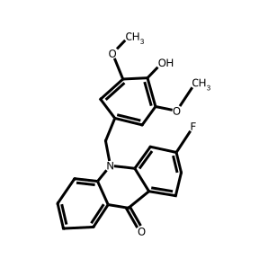 COc1cc(Cn2c3ccccc3c(=O)c3ccc(F)cc32)cc(OC)c1O